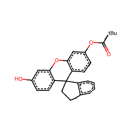 CC(C)(C)C(=O)Oc1ccc2c(c1)Oc1cc(O)ccc1C21CCc2ccccc21